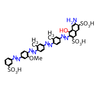 COc1cc(N=Nc2cccc(S(=O)(=O)O)c2)ccc1N=Nc1ccc(N=Nc2ccc(N=Nc3c(S(=O)(=O)O)cc4cc(S(=O)(=O)O)c(N)cc4c3O)cc2C)cc1C